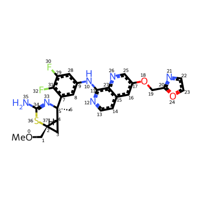 COC[C@]12C[C@H]1[C@](C)(c1cc(Nc3nccc4cc(OCc5ncco5)cnc34)cc(F)c1F)N=C(N)S2